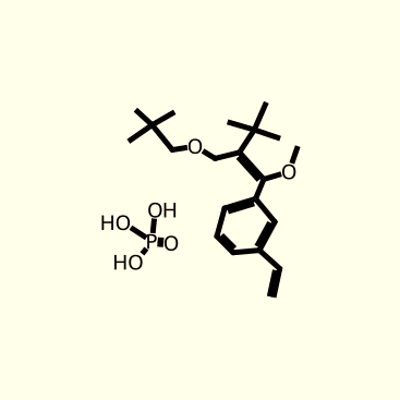 C=Cc1cccc(/C(OC)=C(\COCC(C)(C)C)C(C)(C)C)c1.O=P(O)(O)O